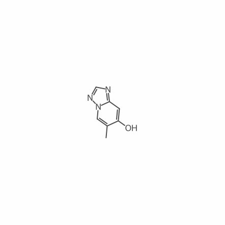 Cc1cn2ncnc2cc1O